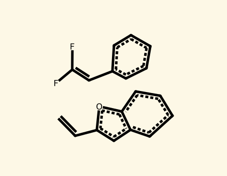 C=Cc1cc2ccccc2o1.FC(F)=Cc1ccccc1